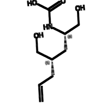 C=CC[C@H](CO)C[C@@H](CO)NC(=O)O